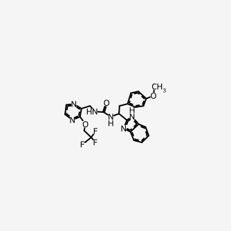 COc1ccc(CC(NC(=O)NCc2nccnc2OCC(F)(F)F)c2nc3ccccc3[nH]2)cc1